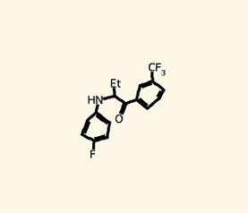 CCC(Nc1ccc(F)cc1)C(=O)c1cccc(C(F)(F)F)c1